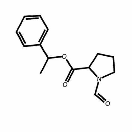 CC(OC(=O)C1CCCN1C=O)c1ccccc1